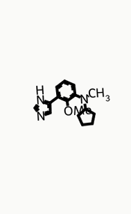 COc1c(-c2cnc[nH]2)cccc1N(C)C1CCCC1